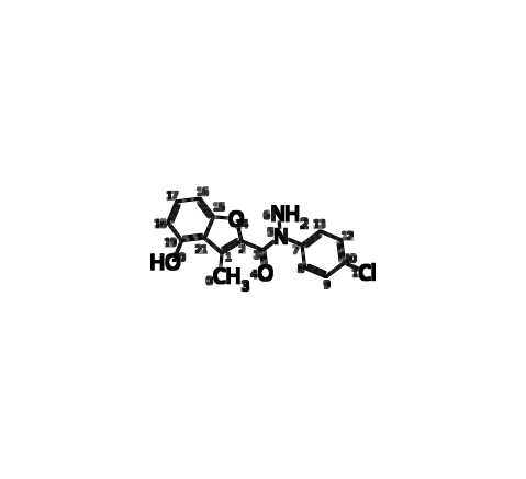 Cc1c(C(=O)N(N)c2ccc(Cl)cc2)oc2cccc(O)c12